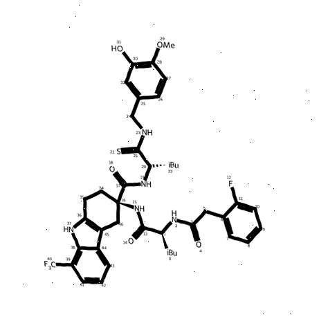 CCC(C)[C@H](NC(=O)Cc1ccccc1F)C(=O)N[C@]1(C(=O)NC(C(=S)NCc2ccc(OC)c(O)c2)[C@@H](C)CC)CCc2[nH]c3c(C(F)(F)F)cccc3c2C1